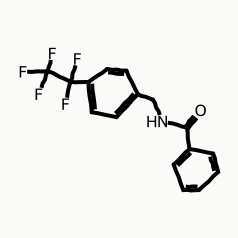 O=C(NCc1ccc(C(F)(F)C(F)(F)F)cc1)c1ccccc1